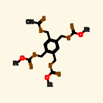 CCOC(=S)SCc1cc(CSC(=S)OCC)c(CSC(=S)OCC)cc1CSC(=S)N=O